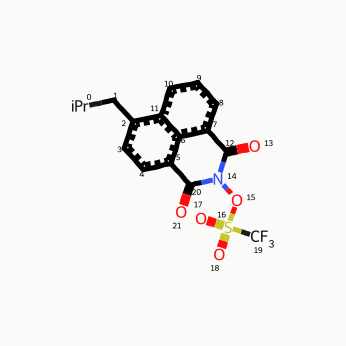 CC(C)Cc1ccc2c3c(cccc13)C(=O)N(OS(=O)(=O)C(F)(F)F)C2=O